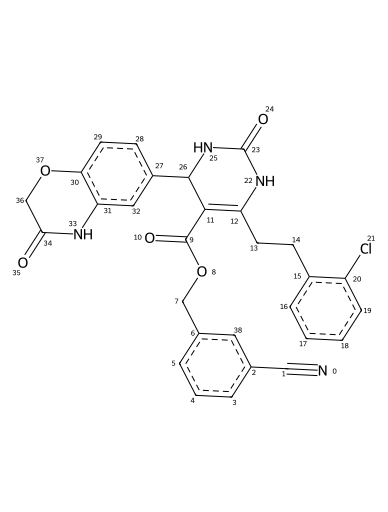 N#Cc1cccc(COC(=O)C2=C(CCc3ccccc3Cl)NC(=O)NC2c2ccc3c(c2)NC(=O)CO3)c1